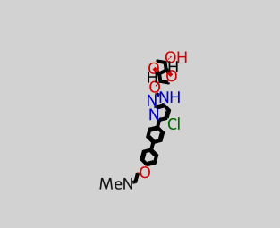 CNCCOc1ccc(-c2ccc(-c3nc4nc(O[C@H]5CO[C@@H]6[C@H]5OC[C@@H]6O)[nH]c4cc3Cl)cc2)cc1